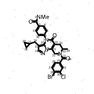 CNC(=O)c1ccc(-n2c(=O)c3c(n4ncc(CC5CC5)c24)CN(C(=O)c2ccc(Br)c(Cl)c2)C(C)C3)cc1